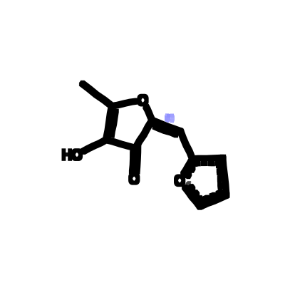 CC1=C(O)C(=O)/C(=C\c2ccco2)O1